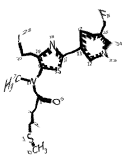 CSCCC(=O)N(C)c1sc(-c2cncc(F)c2)nc1CI